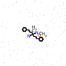 COc1ccccc1/C=C/CC(C#N)(C#N)C(C)/C=C/c1ccccc1